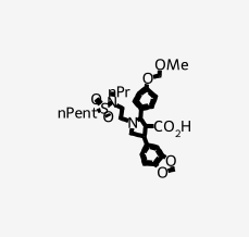 CCCCCS(=O)(=O)N(CCC)CCN1CC(c2ccc3c(c2)OCO3)C(C(=O)O)C1c1ccc(OCOC)cc1